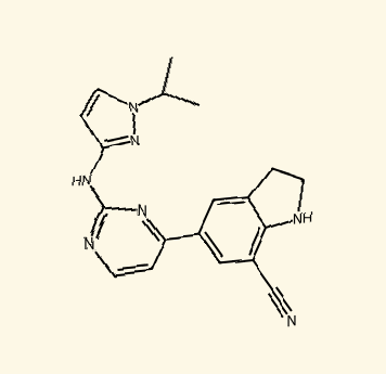 CC(C)n1ccc(Nc2nccc(-c3cc(C#N)c4c(c3)CCN4)n2)n1